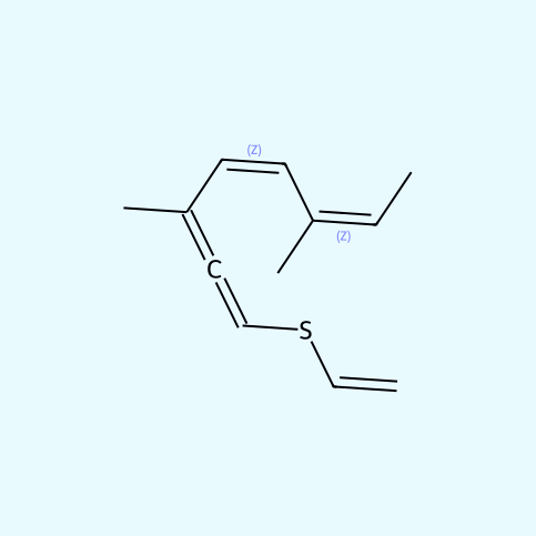 C=CSC=C=C(C)/C=C\C(C)=C/C